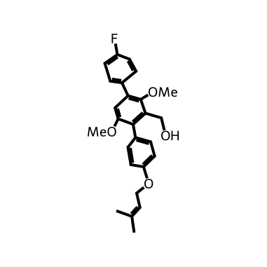 COc1cc(-c2ccc(F)cc2)c(OC)c(CO)c1-c1ccc(OCC=C(C)C)cc1